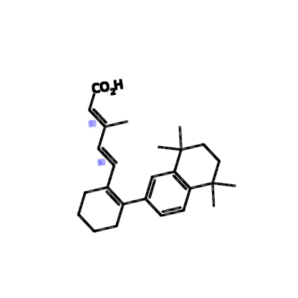 CC(/C=C/C1=C(c2ccc3c(c2)C(C)(C)CCC3(C)C)CCCC1)=C\C(=O)O